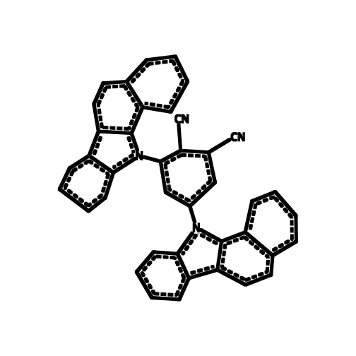 N#Cc1cc(-n2c3ccccc3c3ccc4ccccc4c32)cc(-n2c3ccccc3c3ccc4ccccc4c32)c1C#N